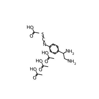 CC(=O)O.CC(=O)O.CC(=O)O.CC(=O)O.NCC(N)c1ccc(N=C=S)cc1